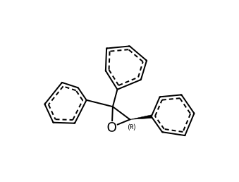 c1ccc([C@H]2OC2(c2ccccc2)c2ccccc2)cc1